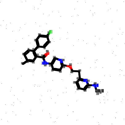 Cc1ccc(-c2ccc(Cl)cc2)c(C(=O)Nc2ccc(OCCc3cccc(NC(=O)O)n3)nc2)c1